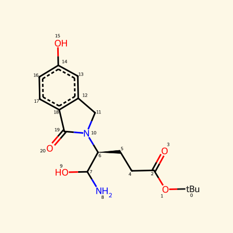 CC(C)(C)OC(=O)CC[C@@H](C(N)O)N1Cc2cc(O)ccc2C1=O